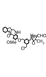 COc1cc2c(cc1OCc1cc(CCl)cc(NC(=O)C(C)NC=O)c1)NCC1Cc3ccccc3N1C2=O